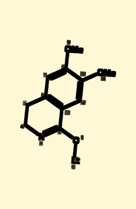 CCOC1=NCCc2cc(OC)c(OC)cc21